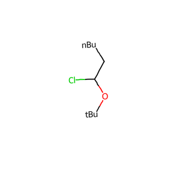 CCCCCC(Cl)OC(C)(C)C